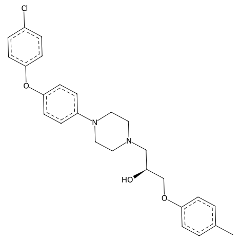 Cc1ccc(OC[C@@H](O)CN2CCN(c3ccc(Oc4ccc(Cl)cc4)cc3)CC2)cc1